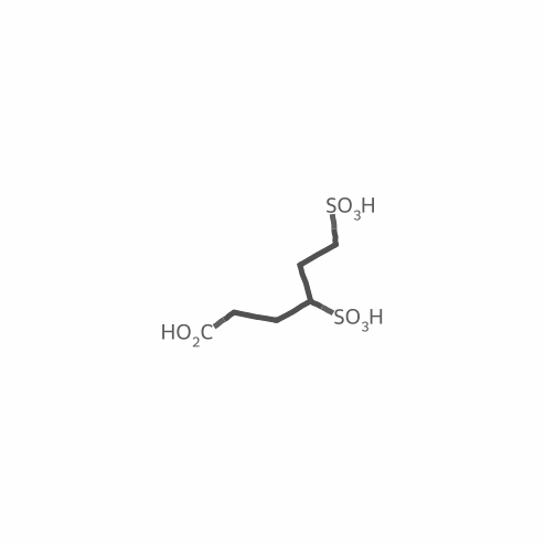 O=C(O)CCC(CCS(=O)(=O)O)S(=O)(=O)O